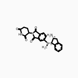 CN(c1ccc2c(c1)C(=O)N(C1CCC(=O)NC1=O)C2=O)[C@H]1c2ccccc2C[C@H]1N